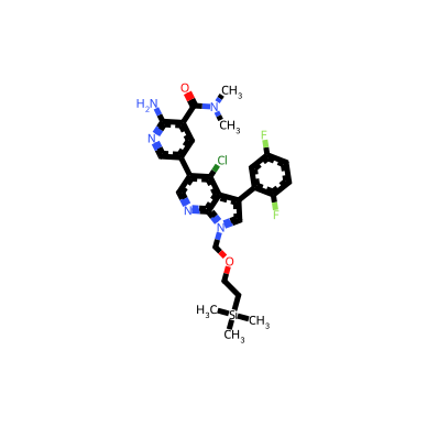 CN(C)C(=O)c1cc(-c2cnc3c(c(-c4cc(F)ccc4F)cn3COCC[Si](C)(C)C)c2Cl)cnc1N